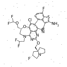 N#Cc1c(N)sc2c(F)ccc(-c3c(Cl)c4c5c(nc(OC[C@@]67CCCN6C[C@H](F)C7)nc5c3F)N(CC(F)F)CC(COC(F)F)O4)c12